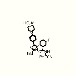 CC(C)[C@@H](C#N)NC(=O)[C@@H]1C[C@@H](F)CC[C@H]1c1nc(C(C)(C)C)oc1-c1ccc(N2CCS(O)(O)CC2)cc1